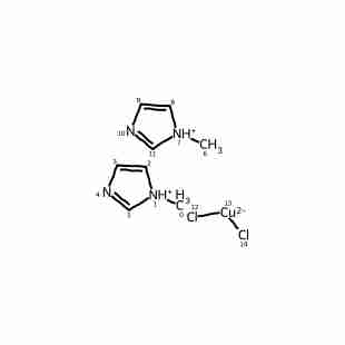 C[NH+]1C=CN=C1.C[NH+]1C=CN=C1.[Cl][Cu-2][Cl]